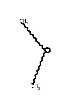 CCCCCCCCCCCCCCCCC1CCCCC1CCCCCCCCCCCCCCCC